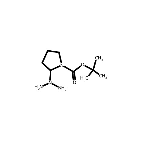 CC(C)(C)OC(=O)N1CCC[C@@H]1N(N)N